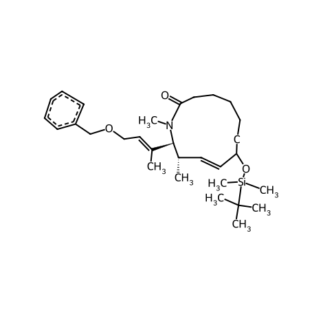 C/C(=C\COCc1ccccc1)[C@@H]1[C@@H](C)/C=C/C(O[Si](C)(C)C(C)(C)C)CCCCCC(=O)N1C